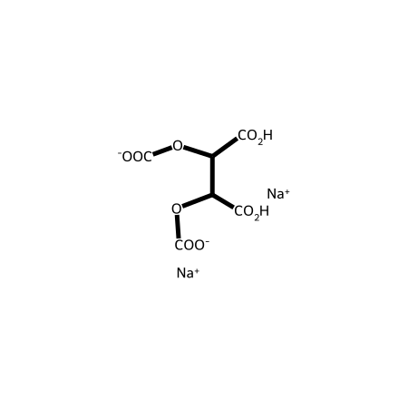 O=C([O-])OC(C(=O)O)C(OC(=O)[O-])C(=O)O.[Na+].[Na+]